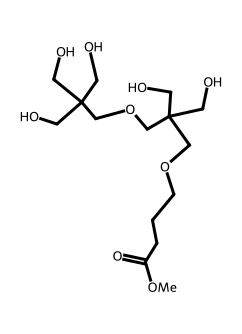 COC(=O)CCCOCC(CO)(CO)COCC(CO)(CO)CO